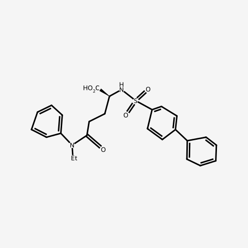 CCN(C(=O)CC[C@H](NS(=O)(=O)c1ccc(-c2ccccc2)cc1)C(=O)O)c1ccccc1